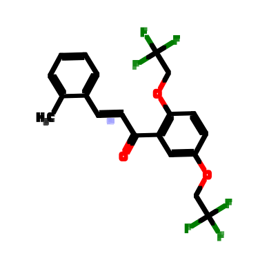 Cc1ccccc1/C=C/C(=O)c1cc(OCC(F)(F)F)ccc1OCC(F)(F)F